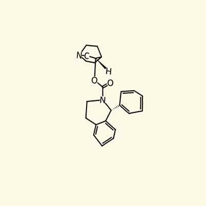 O=C(O[C@@H]1CN2CCC1CC2)N1CCc2ccccc2[C@H]1c1ccccc1